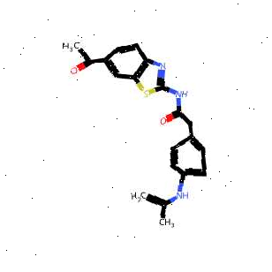 C=C(C)Nc1ccc(CC(=O)Nc2nc3ccc(C(C)=O)cc3s2)cc1